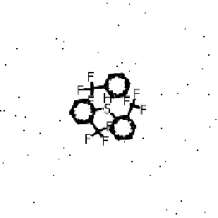 FC(F)(F)c1ccccc1[SH](c1ccccc1C(F)(F)F)c1ccccc1C(F)(F)F